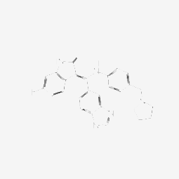 O=C1Nc2cc(Cl)ccc2/C1=C(/Nc1ccc(CN2CCCC2)cc1)c1ccc2[nH]cnc2c1